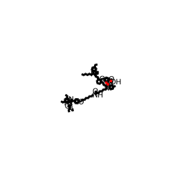 CCCCCCN1/C(=C/C=C2\CCCC(/C=C/C3=[N+](CCCCCC(=O)NCCCCCCCOc4ccc(-c5nn6c(CC)cc(CC)nc6c5CC(=O)N(CC)CC)cc4)c4ccc(C)cc4C3(C)C)=C2Oc2ccc(S(=O)(=O)O)cc2)C(C)(C)c2cc(CC)ccc21